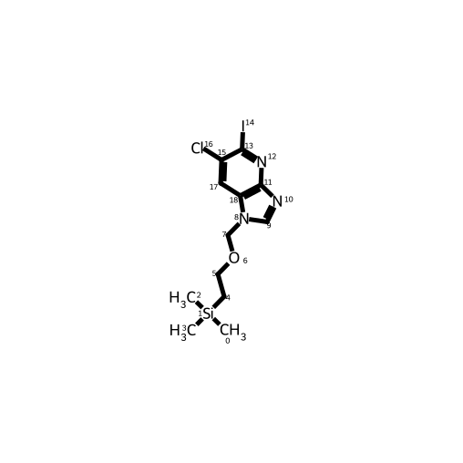 C[Si](C)(C)CCOCn1cnc2nc(I)c(Cl)cc21